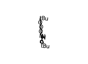 CC(C)(C)CCOCCOCCOCCn1cc(-c2ccc(C(C)(C)C)cc2)nn1